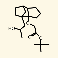 CC(O)CC12CCC(C1)C1CCCC12OCC(=O)OC(C)(C)C